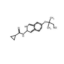 CC(C)(CN=O)Oc1ccc2c(c1)=CNC(NC(=O)C1CC1)C=2